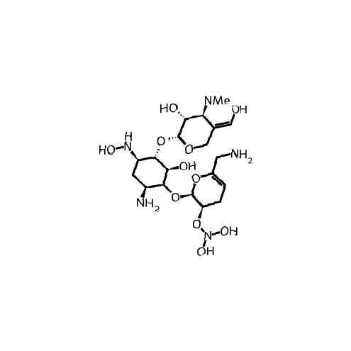 CN[C@H]1/C(=C\O)CO[C@H](O[C@H]2[C@H](NO)C[C@H](N)C(O[C@H]3OC(CN)=CC[C@H]3ON(O)O)[C@@H]2O)[C@@H]1O